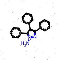 Nn1nc(-c2ccccc2)c(-c2ccccc2)c1-c1ccccc1